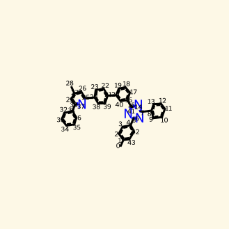 Cc1ccc(-c2nc(-c3ccccc3)nc(-c3cccc(-c4ccc(-c5cc(C)cc(-c6ccccc6)n5)cc4)c3)n2)cc1